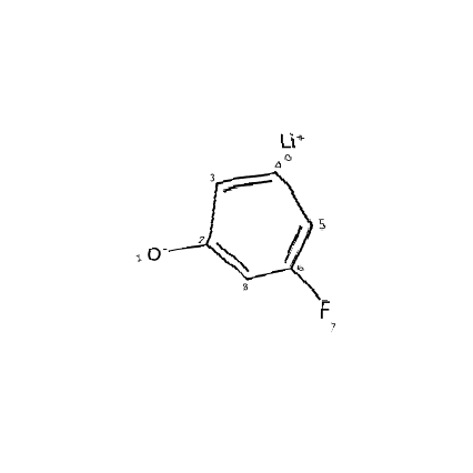 [Li+].[O-]c1cccc(F)c1